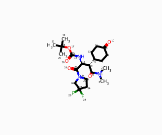 CN(C)C(=O)[C@@H](C1CCC(=O)CC1)[C@H](NC(=O)OC(C)(C)C)C(=O)N1CCC(F)(F)C1